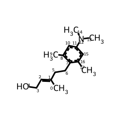 C/C(=C\CO)CCc1c(C)cc(N(C)C)cc1C